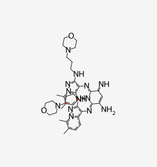 Cc1ccc2c(/N=C3\N/C(=N\c4c(NCCCN5CCOCC5)nn5c(C)c(C)ccc45)C(N)=CC3=N)c(NCCCN3CCOCC3)nn2c1C